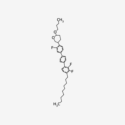 CCCCCCCCCCc1ccc(-c2ccc(-c3ccc(C4CCC(OCCCC)OC4)c(F)c3)cc2)c(F)c1F